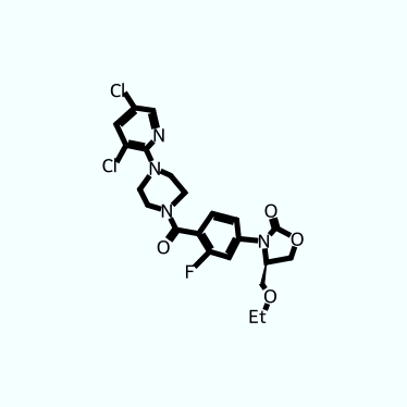 CCOC[C@@H]1COC(=O)N1c1ccc(C(=O)N2CCN(c3ncc(Cl)cc3Cl)CC2)c(F)c1